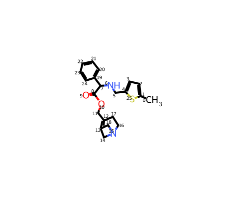 Cc1ccc(CNC(C(=O)OCC2=C3CN(CC2)C3)c2ccccc2)s1